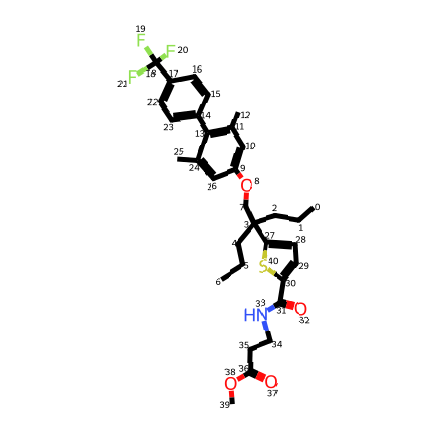 CCCC(CCC)(COc1cc(C)c(-c2ccc(C(F)(F)F)cc2)c(C)c1)c1ccc(C(=O)NCCC(=O)OC)s1